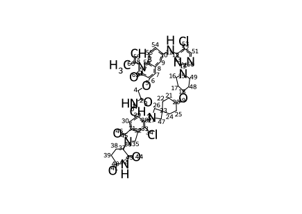 CNC(=O)COc1cc2cc(Nc3nc(N4CCC(OC5CCC6(CC5)CN(c5ccc7c(c5Cl)CN(C5CCC(=O)NC5=O)C7=O)C6)CC4)ncc3Cl)ccc2n(C(C)C)c1=O